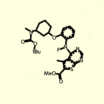 COC(=O)c1sc2ncnc(N(F)c3ccccc3OC3CCCC(N(C)C(=O)OC(C)(C)C)C3)c2c1C